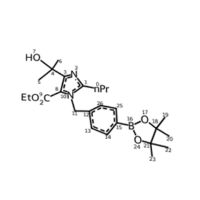 CCCc1nc(C(C)(C)O)c(C(=O)OCC)n1Cc1ccc(B2OC(C)(C)C(C)(C)O2)cc1